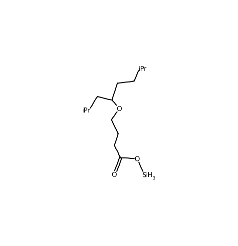 CC(C)CCC(CC(C)C)OCCCC(=O)O[SiH3]